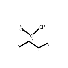 CCCC.ClOCl